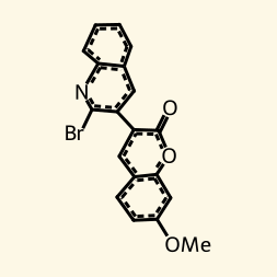 COc1ccc2cc(-c3cc4ccccc4nc3Br)c(=O)oc2c1